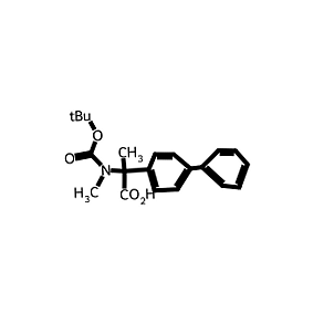 CN(C(=O)OC(C)(C)C)C(C)(C(=O)O)c1ccc(-c2ccccc2)cc1